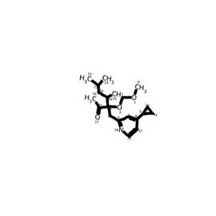 COCOC(Cc1cc(C2CC2)ccn1)(C(C)=O)C(C)CC(C)C